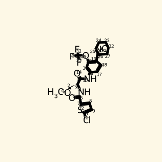 COC[C@@H](NC(=O)c1ccc(Cl)s1)C(=O)Nc1ccc(N2CC3CCC2CC3)c(OC(F)(F)F)c1